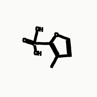 Cc1ccoc1P(=O)(O)O